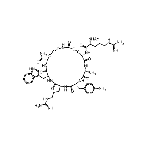 CC(=O)N[C@@H](CCCNC(=N)N)C(=O)N[C@H]1CCC(=O)NCCC[C@@H](C(N)=O)NC(=O)[C@H](Cc2c[nH]c3ccccc23)NC(=O)[C@H](CCCNC(=N)N)NC(=O)[C@@H](Cc2ccc(N)cc2)NC(=O)[C@H](C)NC1=O